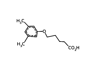 Cc1cc(C)cc(OCCCCC(=O)O)c1